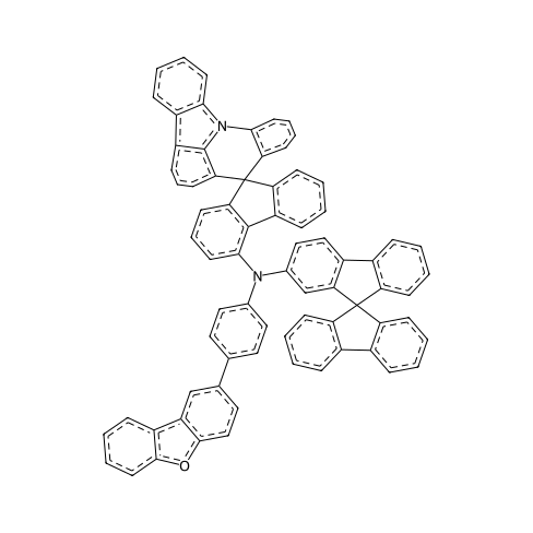 c1ccc2c(c1)-c1ccccc1C21c2ccccc2-c2ccc(N(c3ccc(-c4ccc5oc6ccccc6c5c4)cc3)c3cccc4c3-c3ccccc3C43c4ccccc4-n4c5ccccc5c5cccc3c54)cc21